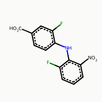 O=C(O)c1ccc(Nc2c(F)cccc2[N+](=O)[O-])c(F)c1